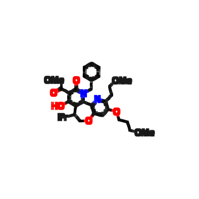 COCCCOc1cc2c(nc1CCOC)-c1c(c(O)c(C(=O)OC)c(=O)n1Cc1ccccc1)C(C(C)C)CO2